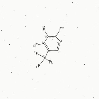 Fc1ccc(C(F)(F)[P])c(F)c1F